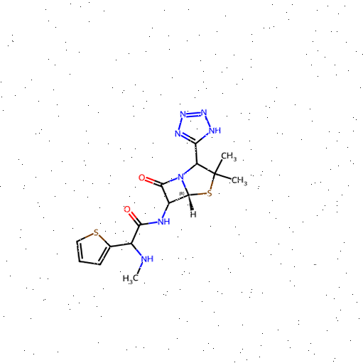 CNC(C(=O)NC1C(=O)N2C(c3nnn[nH]3)C(C)(C)S[C@H]12)c1cccs1